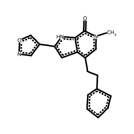 Cn1cc(CCc2ccccc2)c2cc(-c3cnoc3)[nH]c2c1=O